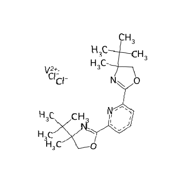 CC(C)(C)C1(C)COC(c2cccc(C3=NC(C)(C(C)(C)C)CO3)n2)=N1.[Cl-].[Cl-].[V+2]